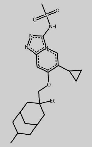 CCC1(COc2cc3nnc(NS(C)(=O)=O)n3cc2C2CC2)CC2CC(C)CC(C2)C1